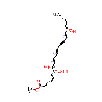 CC/C=C\C[C@@H](O)/C=C/C#C/C=C/C=C/[C@@H](O)[C@@H](O)C/C=C\CCC(=O)OC